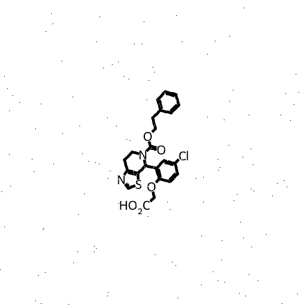 O=C(O)COc1ccc(Cl)cc1C1c2scnc2CCN1C(=O)OCCc1ccccc1